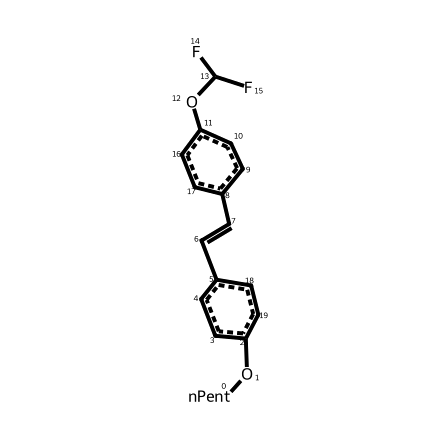 CCCCCOc1ccc(C=Cc2ccc(OC(F)F)cc2)cc1